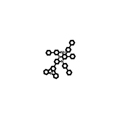 c1ccc(-c2ccc(-c3c(-c4ccccc4)cc4c5c3Nc3ccc(-c6ccccc6)cc3B5c3ccc(-c5cc6c7ccccc7n7c8ccccc8c(c5)c67)cc3N4c3ccc(-c4ccccc4)cc3)cc2)cc1